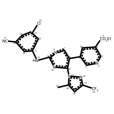 CCOC(=O)c1cncc(-c2cnc(Nc3cc(Cl)cc(C#N)c3)nc2-n2nc(C(F)(F)F)cc2C)c1